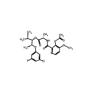 COc1ccnc(C(=O)N[C@@H](C)C(=O)O[C@H](C(C)C)[C@H](C)Oc2cc(F)cc(Cl)c2)c1OC(C)=O